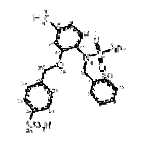 CCCS(=O)(=O)N(Cc1ccccc1)c1ccc(C)cc1OCc1ccc(C(=O)O)cc1